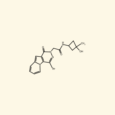 CC(C)c1nn(CC(=O)NC2CC(C)(O)C2)c(=O)c2cc3ccccn3c12